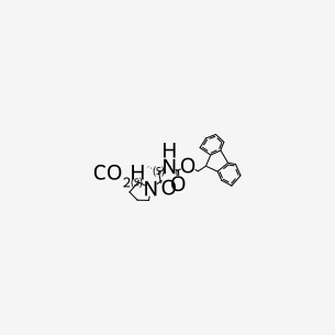 C[C@H](NC(=O)OCC1c2ccccc2-c2ccccc21)C(=O)N1CCC[C@H]1C(=O)O